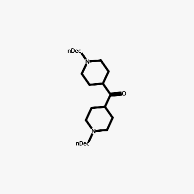 CCCCCCCCCCN1CCC(C(=O)C2CCN(CCCCCCCCCC)CC2)CC1